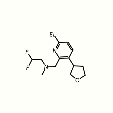 CCc1ccc(C2CCOC2)c(CN(C)CC(F)F)n1